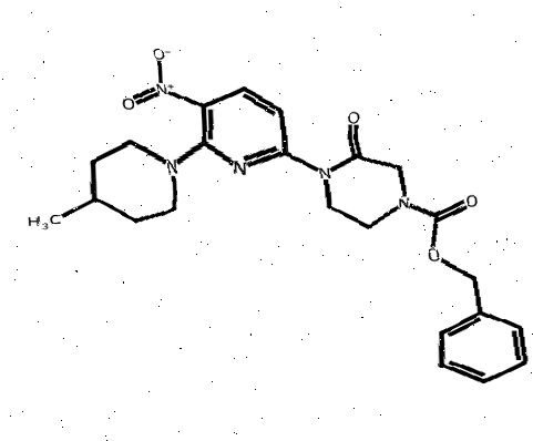 CC1CCN(c2nc(N3CCN(C(=O)OCc4ccccc4)CC3=O)ccc2[N+](=O)[O-])CC1